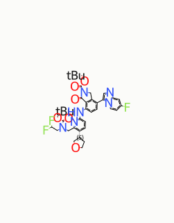 CC(C)(C)OC(=O)N(Cc1nc(Nc2ccc(-c3cnc4cc(F)ccn34)c3c2C(=O)N(C(=O)OC(C)(C)C)C3)ccc1[C@@H]1CCOC1)CC(F)F